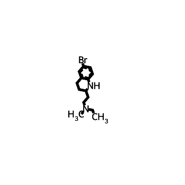 CCN(C)CCC1CCc2cc(Br)ccc2N1